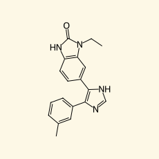 CCn1c(=O)[nH]c2ccc(-c3[nH]cnc3-c3cccc(C)c3)cc21